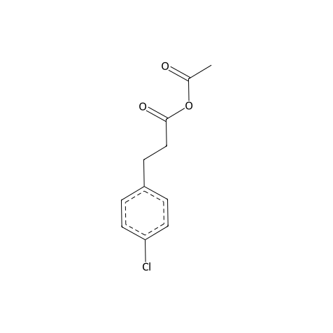 CC(=O)OC(=O)CCc1ccc(Cl)cc1